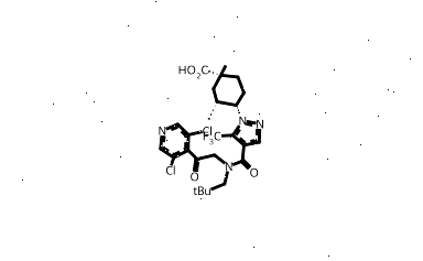 C[C@@H]1C[C@](C)(C(=O)O)CC[C@@H]1n1ncc(C(=O)N(CC(=O)c2c(Cl)cncc2Cl)CC(C)(C)C)c1C(F)(F)F